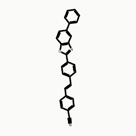 N#Cc1ccc(C=Cc2ccc(-c3nc4cc(-c5ccccc5)ccc4o3)cc2)cc1